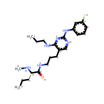 CCCNc1nc(Nc2cccc(F)c2)ncc1CCCNC(=O)[C@H](CCC)NC